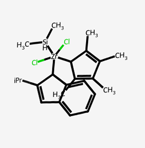 CC1=C(C)[CH]([Zr]([Cl])([Cl])([CH]2C(C(C)C)=Cc3ccccc32)[SiH](C)C)C(C)=C1C